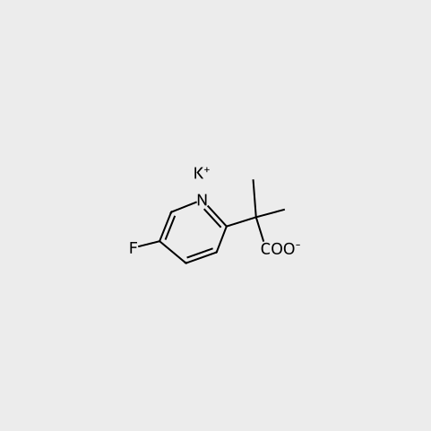 CC(C)(C(=O)[O-])c1ccc(F)cn1.[K+]